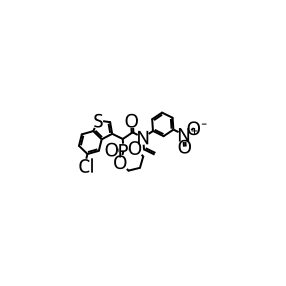 C=CN(C(=O)C(c1csc2ccc(Cl)cc12)P1(=O)OCCCO1)c1cccc([N+](=O)[O-])c1